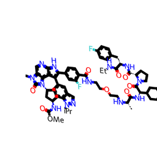 CCNC(=O)[C@H](Cc1ccc(F)cc1)NC(=O)[C@@H]1CCCN1C(=O)[C@@H](NC(=O)[C@H](C)NCCOCCNC(=O)c1ccc(-c2[nH]c3ncc4c(c3c2-c2ccc3c(cnn3C(C)C)c2)n([C@@H]2CC[C@@H](NC(=O)OC)C2)c(=O)n4C)cc1F)C1CCCCC1